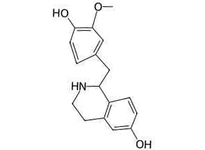 COc1cc(CC2NCCc3cc(O)ccc32)ccc1O